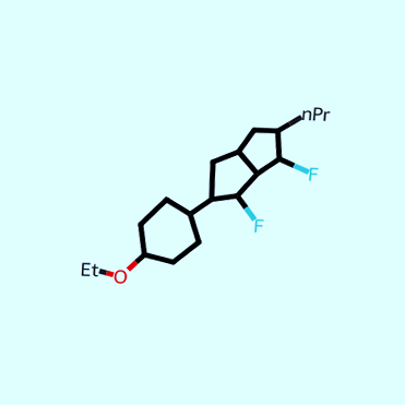 CCCC1CC2CC(C3CCC(OCC)CC3)C(F)C2C1F